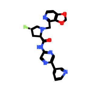 O=C(Nc1cnc(-c2cccnc2)cn1)[C@H]1C[C@H](F)CN1Cc1nccc2c1OCO2